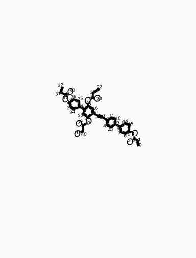 C=CC(=O)Oc1ccc(-c2ccc(C#Cc3cc(OC(=O)C=C)c(-c4ccc(OC(=O)C=C)cc4)cc3OC(=O)C=O)cc2)cc1